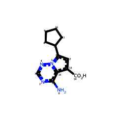 Nc1ncnn2c(C3CCCC3)cc(C(=O)O)c12